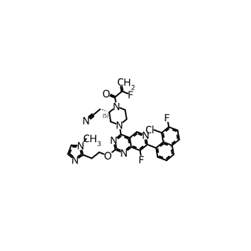 C=C(F)C(=O)N1CCN(c2nc(OCCc3nccn3C)nc3c(F)c(-c4cccc5ccc(F)c(Cl)c45)ncc23)C[C@@H]1CC#N